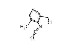 Cc1cccc(CCl)c1N=C=O